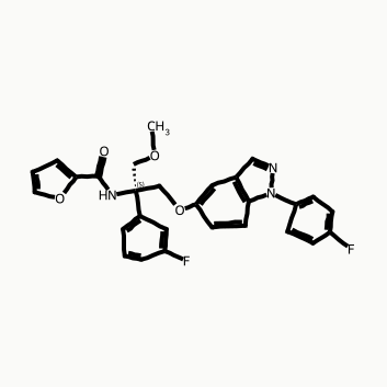 COC[C@@](COc1ccc2c(cnn2-c2ccc(F)cc2)c1)(NC(=O)c1ccco1)c1cccc(F)c1